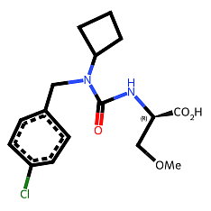 COC[C@@H](NC(=O)N(Cc1ccc(Cl)cc1)C1CCC1)C(=O)O